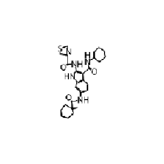 CC1(C(=O)Nc2ccc3c(C(=O)NC4CCCCC4)c(NC(=O)c4cscn4)[nH]c3c2)CCCCC1